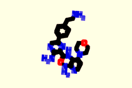 NCCc1ccc(-c2cnc(N)c(C(=O)Nc3c(N4CCOCC4)ccnc3N)n2)cc1